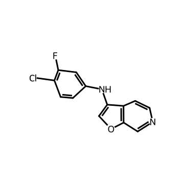 Fc1cc(Nc2coc3cnccc23)ccc1Cl